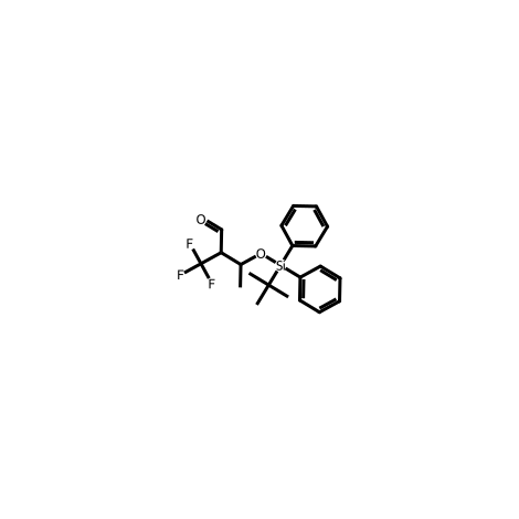 CC(O[Si](c1ccccc1)(c1ccccc1)C(C)(C)C)C(C=O)C(F)(F)F